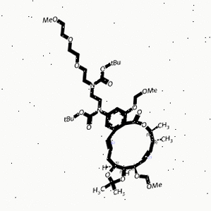 COCCOCCOCCN(CCN(C(=O)OC(C)(C)C)c1cc2c(c(OCOC)c1)C(=O)O[C@@H](C)[C@H](C)/C=C\[C@@H](OCOC)[C@H]1OC(C)(C)O[C@H]1C/C=C/2)C(=O)OC(C)(C)C